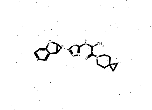 C[C@H](Nc1nnc([C@H]2C3Oc4ccccc4C32)o1)C(=O)N1CCC2(CC1)CC2